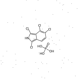 Clc1ccc2c(Cl)[nH]c(Cl)c2c1Cl.O=P(O)(O)O